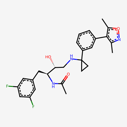 CC(=O)N[C@@H](Cc1cc(F)cc(F)c1)[C@H](O)CNC1(c2cccc(-c3c(C)noc3C)c2)CC1